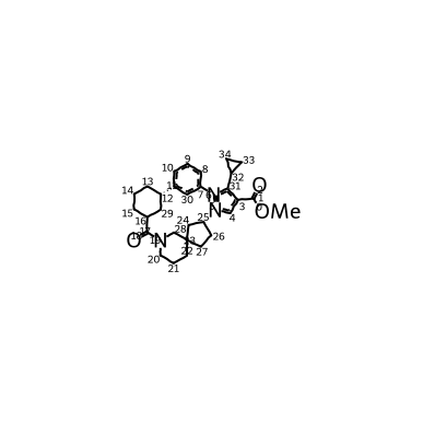 COC(=O)c1cnn(-c2cccc([C@H]3CCCC(C(=O)N4CCCC5(CCCC5)C4)C3)c2)c1C1CC1